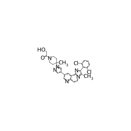 Cc1c(-c2c(Cl)cccc2Cl)nc2c3cc(-c4cnn(C5(C)CCN(C(=O)CO)CC5)c4)cnc3ccn12